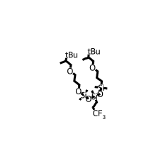 CC(COCCCO[Si](C)(C)O[Si](C)(CCC(F)(F)F)O[Si](C)(C)CCCOCC(C)C(C)(C)C)C(C)(C)C